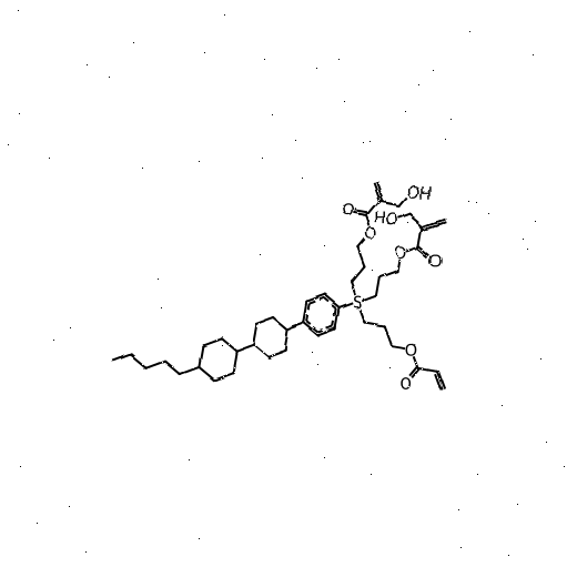 C=CC(=O)OCCCS(CCCOC(=O)C(=C)CO)(CCCOC(=O)C(=C)CO)c1ccc(C2CCC(C3CCC(CCCCC)CC3)CC2)cc1